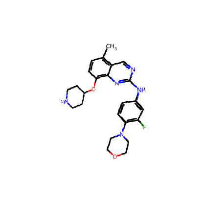 Cc1ccc(OC2CCNCC2)c2nc(Nc3ccc(N4CCOCC4)c(F)c3)ncc12